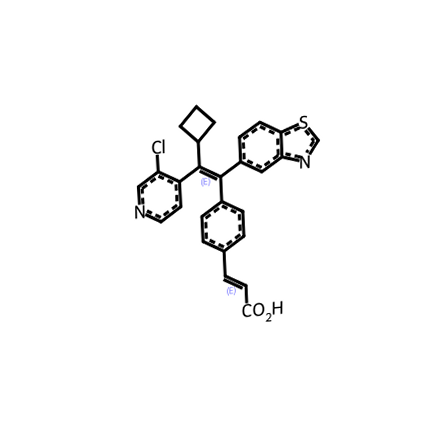 O=C(O)/C=C/c1ccc(/C(=C(\c2ccncc2Cl)C2CCC2)c2ccc3scnc3c2)cc1